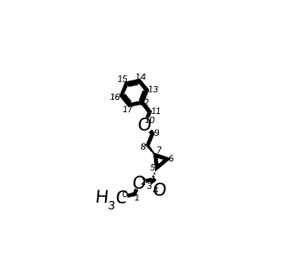 CCOC(=O)[C@H]1C[C@@H]1CCOCc1ccccc1